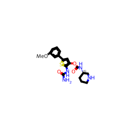 COc1cccc(-c2cc(OC(=O)N[C@H]3CCCNC3)c(NC(N)=O)s2)c1